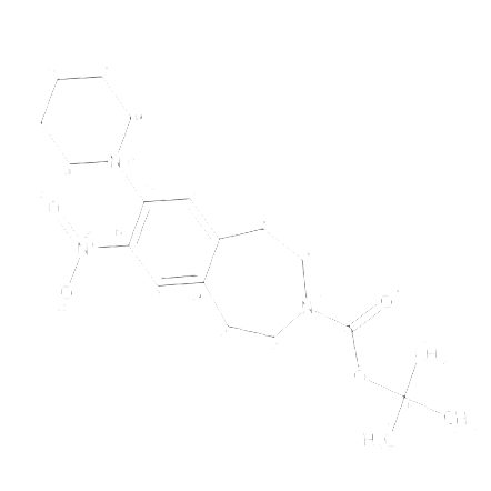 CC(C)(C)OC(=O)N1CCc2cc(N3CCCCC3)c([N+](=O)[O-])cc2CC1